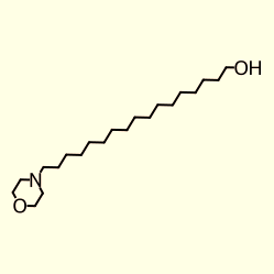 OCCCCCCCCCCCCCCCCCN1CCOCC1